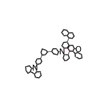 c1cc(-c2ccc(N(c3ccc(-c4cccc5ccccc45)cc3)c3ccccc3-c3cccc4oc5ccccc5c34)cc2)cc(-c2ccc(-n3c4ccccc4c4ccccc43)cc2)c1